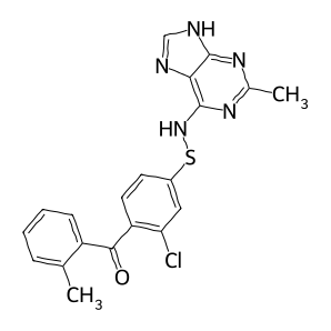 Cc1nc(NSc2ccc(C(=O)c3ccccc3C)c(Cl)c2)c2nc[nH]c2n1